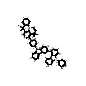 CC1(C)C=CN2c3ccccc3C(C)(C)c3cnc(-c4ccc(-n5c6ccccc6c6cc(-c7cccc8c7c7ccccc7n8-c7ccccc7)ccc65)cc4)c1c32